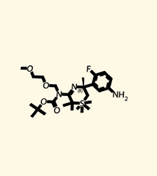 COCCOCN(C(=O)OC(C)(C)C)C1=N[C@](C)(c2cc(N)ccc2F)CS(C)(C)(C)(C)C1(C)C